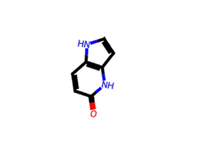 O=c1ccc2[nH][c]cc2[nH]1